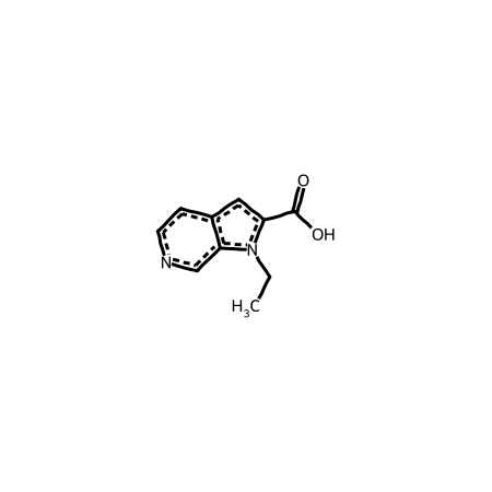 CCn1c(C(=O)O)cc2ccncc21